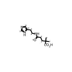 CC(C)(CCC(=O)NCCc1cnc[nH]1)C(=O)O